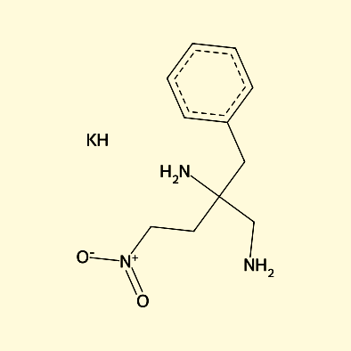 NCC(N)(CC[N+](=O)[O-])Cc1ccccc1.[KH]